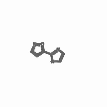 C1=CN=C(c2ccno2)[N]1